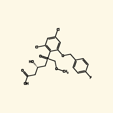 COCP(=O)(C[C@@H](O)CC(=O)O)c1c(Cl)cc(Cl)cc1OCc1ccc(F)cc1